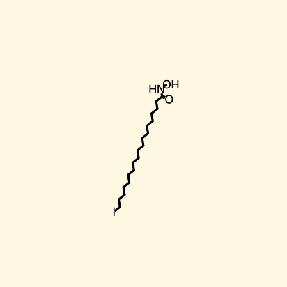 O=C(CCCCCCCCCCCCCCCCCCI)NO